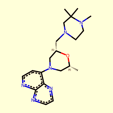 C[C@@H]1CN(c2ccnc3nccnc23)C[C@H](CN2CCN(C)C(C)(C)C2)O1